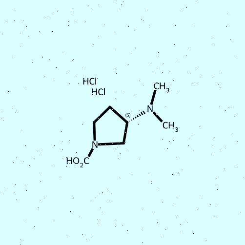 CN(C)[C@H]1CCN(C(=O)O)C1.Cl.Cl